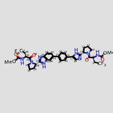 COC(=O)N[C@@H](CC(F)(F)F)C(=O)N1CCC[C@H]1c1ncc(-c2ccc(-c3ccc4nc([C@@H]5CCCN5C(=O)[C@H](CC(F)(F)F)NC(=O)OC)[nH]c4c3)cc2)[nH]1